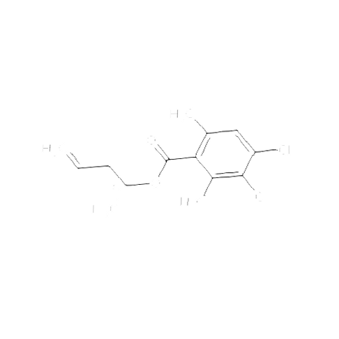 C=CC[C@@H](C)OC(=O)c1c(C)cc(C)c(Cl)c1C